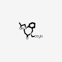 CCOC(=O)CN1Cc2ccccc2N(CC(C)O)CCC1=O